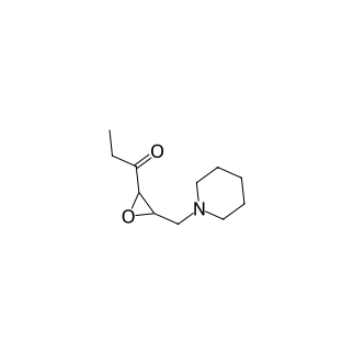 CCC(=O)C1OC1CN1CCCCC1